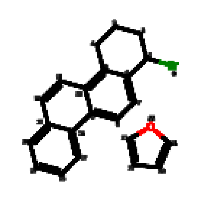 BrC1CCCc2c1ccc1c2ccc2ccccc21.c1ccoc1